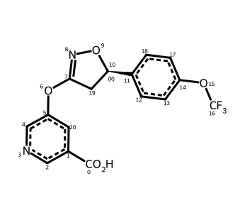 O=C(O)c1cncc(OC2=NO[C@@H](c3ccc(OC(F)(F)F)cc3)C2)c1